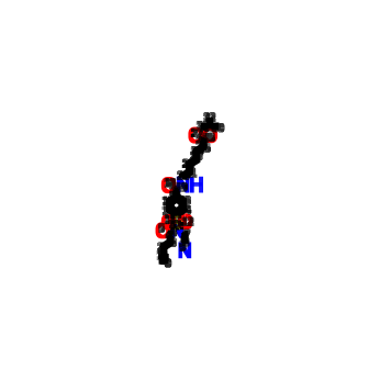 C#CCCC(=O)N(CC#N)S(=O)(=O)c1ccc(C(=O)NCCCCCCC(=O)OC(C)(C)C)cc1